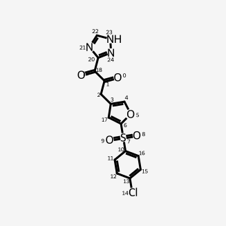 O=C(Cc1coc(S(=O)(=O)c2ccc(Cl)cc2)c1)C(=O)c1nc[nH]n1